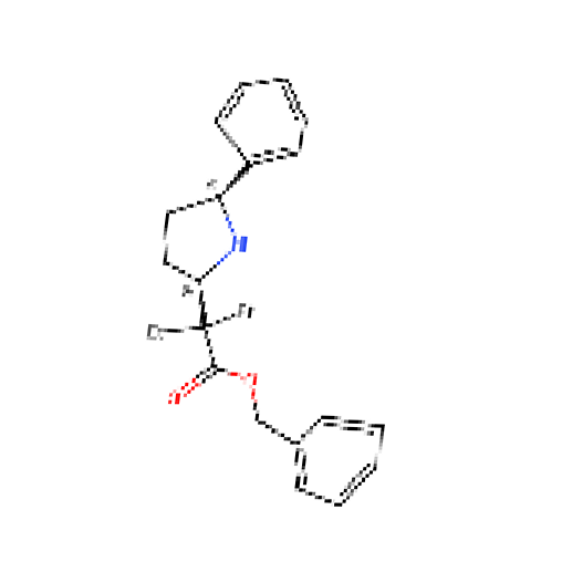 CCC(CC)(C(=O)OCc1ccccc1)[C@H]1CC[C@@H](c2ccccc2)N1